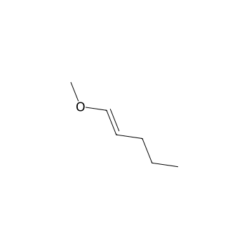 CCCC=COC